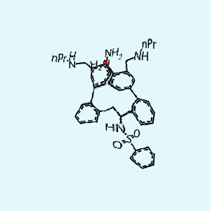 CCCNCc1cc(-c2ccccc2CC(NS(=O)(=O)c2ccccc2)c2ccccc2-c2ccc(N)c(CNCCC)c2)ccc1N